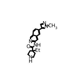 CCC1(C(=O)Nc2cc3cc(-c4cnn(C)c4)ccc3cn2)CCNCC1